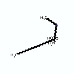 CCCCCCCC/C=C\CCCCCCCC(=O)C(CN)C(O)CCCCCCCCCCCCCCCCCCCCCCCCC